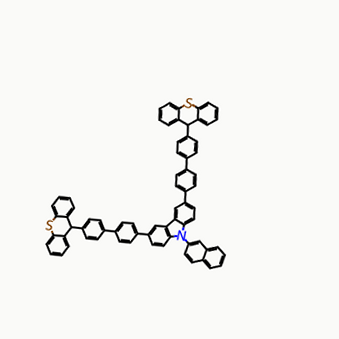 c1ccc2c(c1)Sc1ccccc1C2c1ccc(-c2ccc(-c3ccc4c(c3)c3cc(-c5ccc(-c6ccc(C7c8ccccc8Sc8ccccc87)cc6)cc5)ccc3n4-c3ccc4ccccc4c3)cc2)cc1